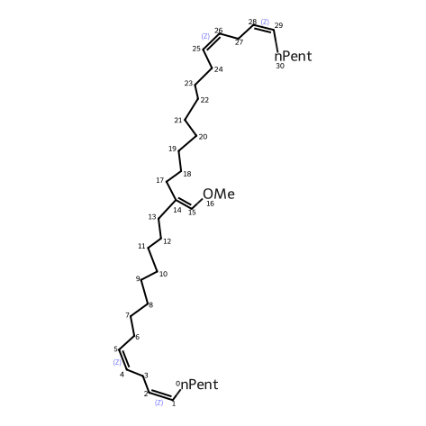 CCCCC/C=C\C/C=C\CCCCCCCCC(=COC)CCCCCCCC/C=C\C/C=C\CCCCC